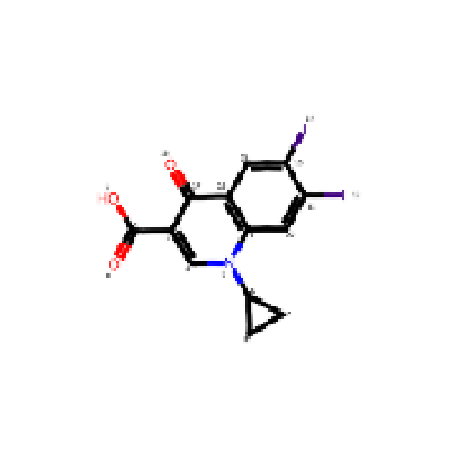 O=C(O)c1cn(C2CC2)c2cc(I)c(I)cc2c1=O